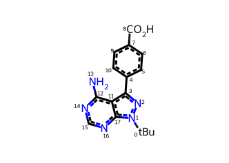 CC(C)(C)n1nc(-c2ccc(C(=O)O)cc2)c2c(N)ncnc21